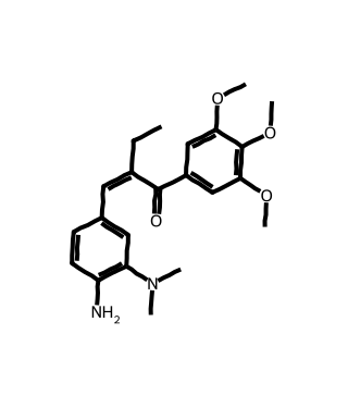 CCC(=Cc1ccc(N)c(N(C)C)c1)C(=O)c1cc(OC)c(OC)c(OC)c1